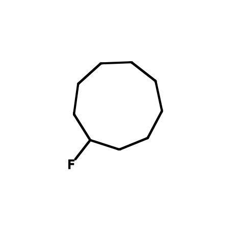 FC1CCCCCCCC1